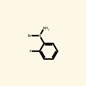 NN(Br)c1ccccc1F